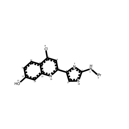 CC(C)Nc1nc(-c2cc(Cl)c3ccc(O)cc3n2)cs1